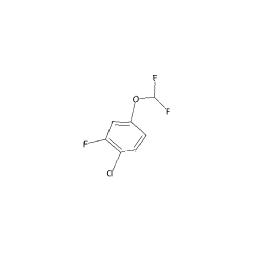 Fc1cc(OC(F)F)c[c]c1Cl